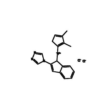 CC1=CC[C]([Ti+2][CH]2C(n3cnnc3)=Cc3ccccc32)=C1C.[Cl-].[Cl-]